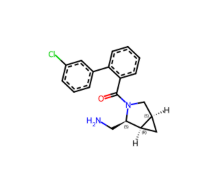 NC[C@@H]1[C@@H]2C[C@@H]2CN1C(=O)c1ccccc1-c1cccc(Cl)c1